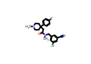 CN1CCC(CC(=O)N(C)Cc2cc(Br)cc(C#N)c2)(c2ccc(F)cc2)CC1